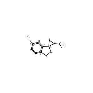 CC1CC12CCc1ccc(F)cc12